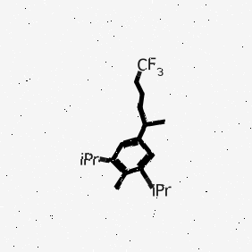 Cc1c(C(C)C)cc(C(C)CCCC(F)(F)F)cc1C(C)C